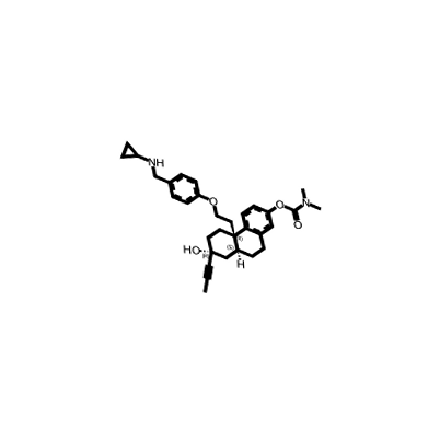 CC#C[C@@]1(O)CC[C@]2(CCOc3ccc(CNC4CC4)cc3)c3ccc(OC(=O)N(C)C)cc3CC[C@H]2C1